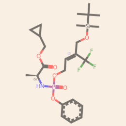 C[C@H](NP(=O)(OC/C=C(/CO[Si](C)(C)C(C)(C)C)C(F)(F)F)Oc1ccccc1)C(=O)OCC1CC1